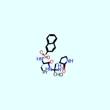 CC(C)C[C@H](NS(=O)(=O)c1ccc2ccccc2c1)C(=O)NC(N)(C=O)C[C@@H]1CCNC1=O